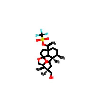 C=C[C@](C)(CO)CC(=O)[C@@]1(C)C2C3(CC[C@]2(C(=C)OS(=O)(=O)C(F)(F)F)CC[C@H]1C)OCCO3